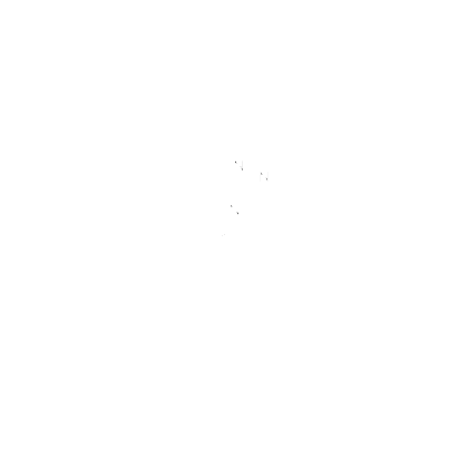 C=CC1C=CC=CC1C(=C)n1c(-c2ccccc2)nnc1-c1ccccc1